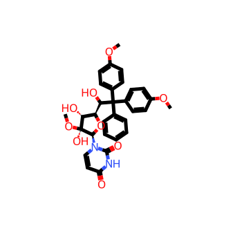 COc1ccc(C(c2ccccc2)(c2ccc(OC)cc2)C(O)[C@H]2O[C@@H](n3ccc(=O)[nH]c3=O)[C@@](O)(OC)[C@@H]2O)cc1